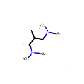 CCCCN(CCCC)CC(C)CN(CCCC)CCCC